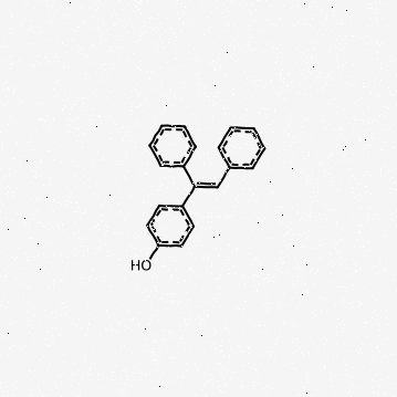 Oc1ccc(C(=Cc2ccccc2)c2ccccc2)cc1